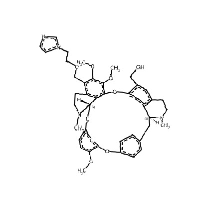 COc1ccc2cc1Oc1ccc(cc1)C[C@H]1c3cc(c(CO)cc3CCN1C)Oc1c(OC)c(OC)c(COCCn3ccnc3)c3c1[C@H](C2)N(C)CC3